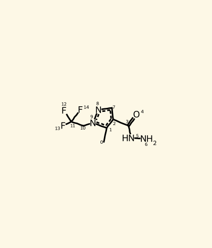 Cc1c(C(=O)NN)cnn1CC(F)(F)F